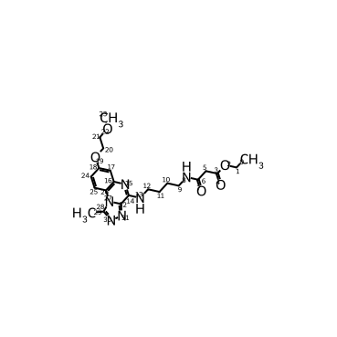 CCOC(=O)CC(=O)NCCCCNc1nc2cc(OCCOC)ccc2n2c(C)nnc12